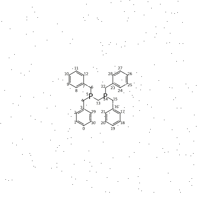 c1ccc(CP(Cc2ccccc2)CP(Cc2ccccc2)Cc2ccccc2)cc1